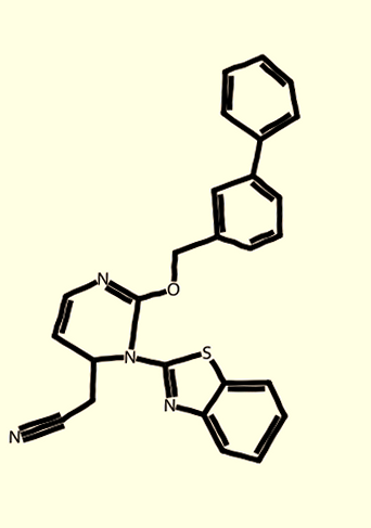 N#CCC1C=CN=C(OCc2cccc(-c3ccccc3)c2)N1c1nc2ccccc2s1